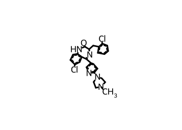 CN1CCN(c2ccc(C3=NC(Cc4ccccc4Cl)C(=O)Nc4ccc(Cl)cc43)cn2)CC1